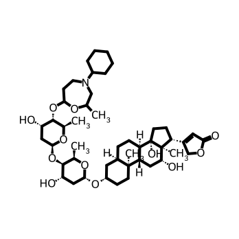 CC1CN(C2CCCCC2)CCC(O[C@H]2[C@@H](O)C[C@H](O[C@@H]3[C@@H](O)C[C@@H](O[C@H]4CC[C@@]5(C)[C@H](CC[C@@H]6[C@@H]5C[C@@H](O)[C@]5(C)[C@@H](C7=CC(=O)OC7)CC[C@]65O)C4)O[C@@H]3C)O[C@@H]2C)O1